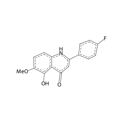 COc1ccc2[nH]c(-c3ccc(F)cc3)cc(=O)c2c1O